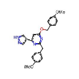 COc1ccc(COc2cc(-c3cn[nH]c3)nc(Cc3ccc(OC)cc3)n2)cc1